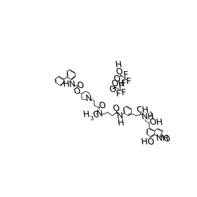 CC(Cc1cccc(NC(=O)CCCN(C)C(=O)CCN2CCC(OC(=O)Nc3ccccc3-c3ccccc3)CC2)c1)NC[C@H](O)c1ccc(O)c2[nH]c(=O)ccc12.O=C(O)C(F)(F)F.O=C(O)C(F)(F)F